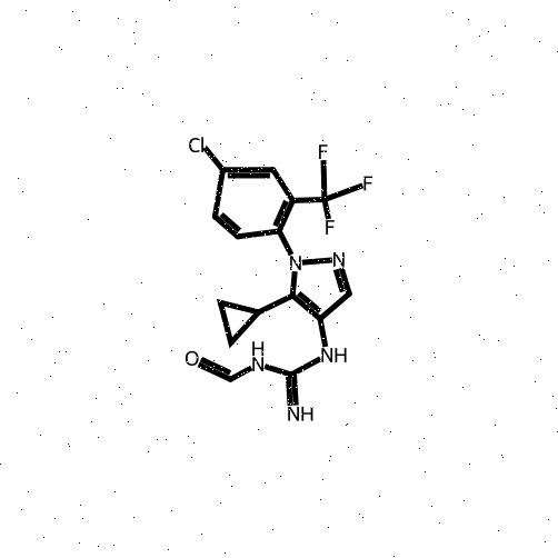 N=C(NC=O)Nc1cnn(-c2ccc(Cl)cc2C(F)(F)F)c1C1CC1